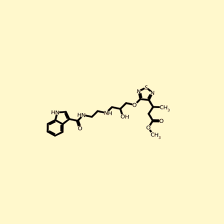 COC(=O)CC(C)c1nsnc1OCC(O)CNCCNC(=O)c1c[nH]c2ccccc12